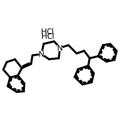 C(CN1CCN(CCCC(c2ccccc2)c2ccccc2)CC1)=C1CCCc2ccccc21.Cl.Cl